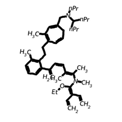 C=CC(C=C)=C(OCC)N(C)/C(C)=C(C)/C=C\C(=C)c1cccc(C)c1CCC1=C(C)C=C(CN(CCC)C(CCC)CCC)CC=C1